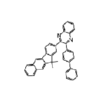 CC1(C)c2cc(-c3nc4ccccc4nc3-c3ccc(-c4ccccc4)cc3)ccc2-c2cc3ccccc3cc21